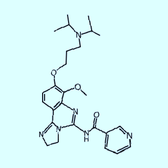 COc1c(OCCCN(C(C)C)C(C)C)ccc2c1N=C(NC(=O)c1cccnc1)N1CCN=C21